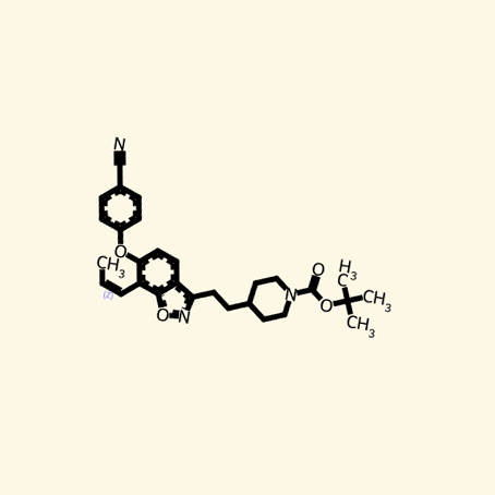 C/C=C\c1c(Oc2ccc(C#N)cc2)ccc2c(CCC3CCN(C(=O)OC(C)(C)C)CC3)noc12